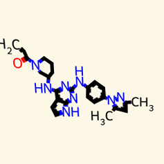 C=CC(=O)N1CCCC(Nc2nc(Nc3ccc(-n4nc(C)cc4C)cc3)nc3[nH]ccc23)C1